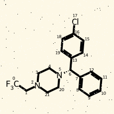 FC(F)(F)CN1CCN([C@@H](c2ccccc2)c2ccc(Cl)cc2)CC1